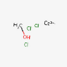 CO.[Ce+3].[Cl-].[Cl-].[Cl-]